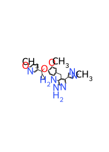 COc1ccc(C(Oc2ccc(Cc3c(-c4cnn(C)c4)cnc(N)c3N)cc2OC)C2CC2)cn1